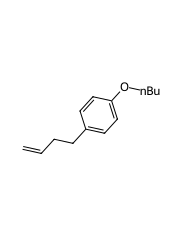 C=CCCc1ccc(OCCCC)cc1